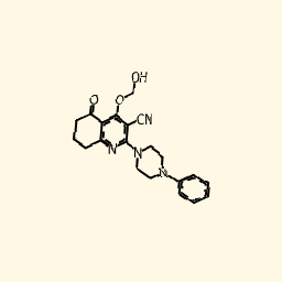 N#Cc1c(N2CCN(c3ccccc3)CC2)nc2c(c1OCO)C(=O)CCC2